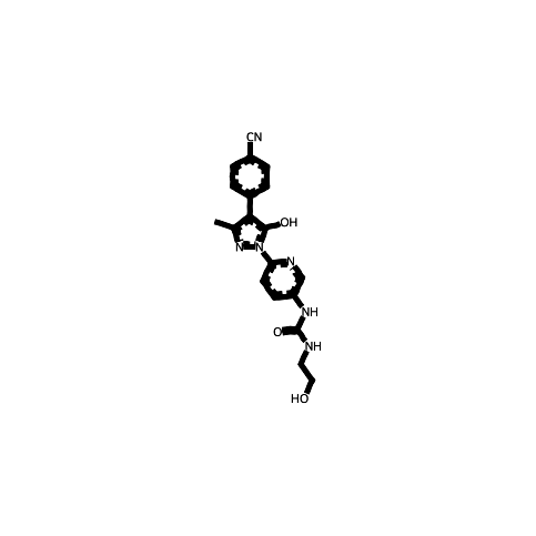 Cc1nn(-c2ccc(NC(=O)NCCO)cn2)c(O)c1-c1ccc(C#N)cc1